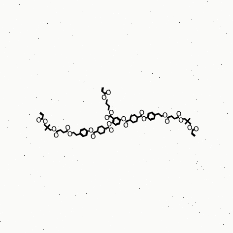 C=CC(=O)OCCCCOC(=O)c1cc(OC(=O)C2CCC(C(=O)Oc3ccc(CCOC(=O)CCC(=O)OCC(C)(C)COC(=O)C=C)cc3)CC2)ccc1OC(=O)C1CCC(C(=O)Oc2ccc(CCOC(=O)CCC(=O)OCC(C)(C)COC(=O)C=C)cc2)CC1